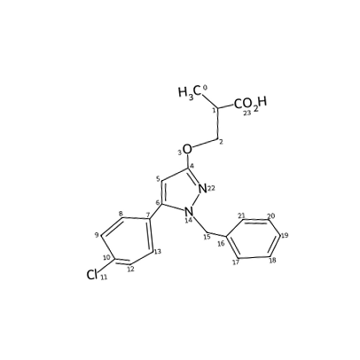 CC(COc1cc(-c2ccc(Cl)cc2)n(Cc2ccccc2)n1)C(=O)O